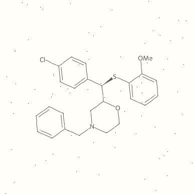 COc1ccccc1S[C@H](c1ccc(Cl)cc1)C1CN(Cc2ccccc2)CCO1